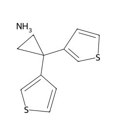 N.c1cc(C2(c3ccsc3)CC2)cs1